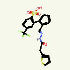 O=C(Cc1cccs1)NN=Cc1ccccc1-c1cc(C(F)(F)F)ccc1S(=O)(=O)O